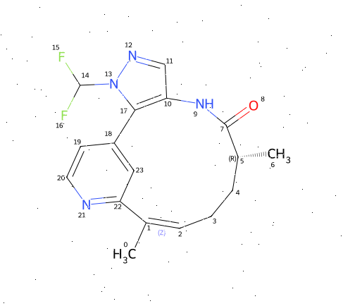 C/C1=C/CC[C@@H](C)C(=O)Nc2cnn(C(F)F)c2-c2ccnc1c2